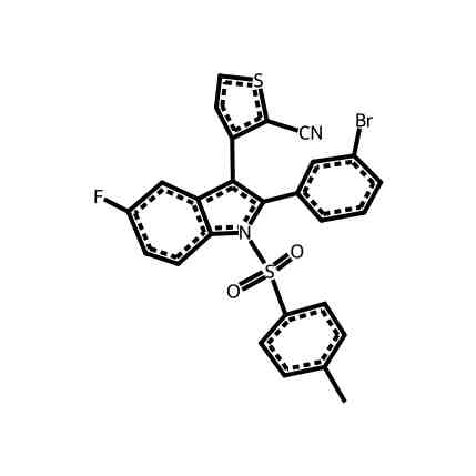 Cc1ccc(S(=O)(=O)n2c(-c3cccc(Br)c3)c(-c3ccsc3C#N)c3cc(F)ccc32)cc1